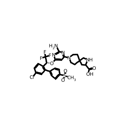 CS(=O)(=O)c1ccc(-c2cc(Cl)ccc2[C@@H](Oc2cc(N3CCC4(CC3)CNC(C(=O)O)C4)nc(N)n2)C(F)(F)F)cc1